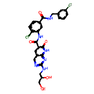 O=C(NCc1cccc(Cl)c1)c1ccc(Cl)c(NC(=O)c2cc3cnc(NCC(O)CO)nc3[nH]c2=O)c1